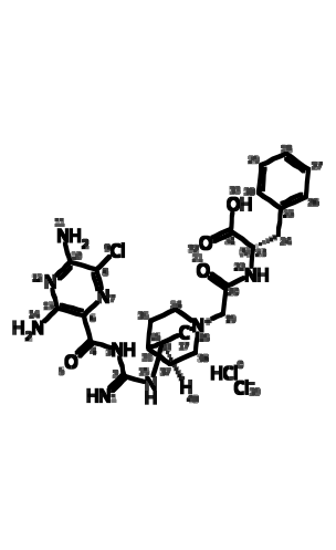 Cl.N=C(NC(=O)c1nc(Cl)c(N)nc1N)N[C@@H]1C[N+]2(CC(=O)N[C@@H](Cc3ccccc3)C(=O)O)CCC1CC2.[Cl-]